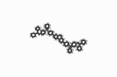 C(=C(c1ccccc1)c1ccccc1)c1ccc(N(c2ccccc2)c2ccc(-c3ccc4c(ccc5cc(-c6ccc(N(c7ccccc7)c7ccc(C=C(c8ccccc8)c8ccccc8)cc7)cc6)ccc54)c3)cc2)cc1